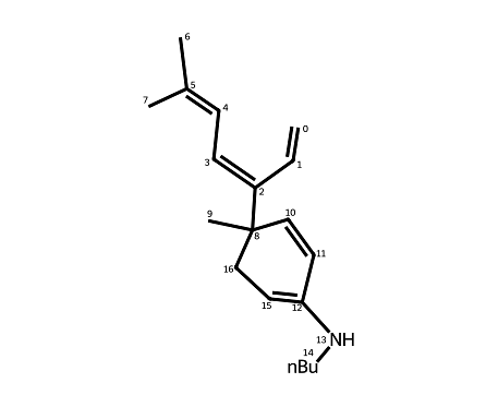 C=C/C(=C\C=C(C)C)C1(C)C=CC(NCCCC)=CC1